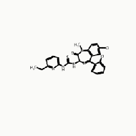 CCc1cccc(NC(=S)NC2N=C(c3ccccc3Cl)c3cc(Cl)ccc3N(C)C2=O)n1